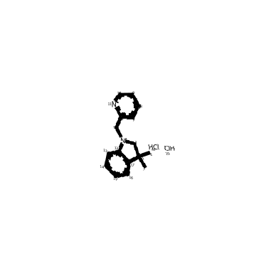 CC1(C)CN(Cc2ccccn2)c2ccccc21.Cl.Cl